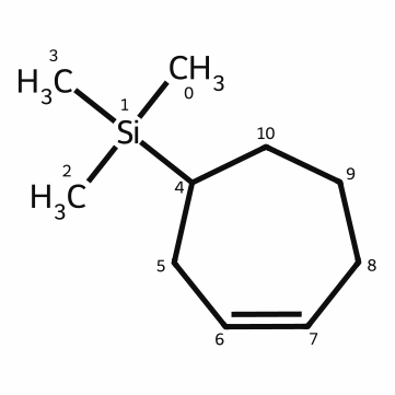 C[Si](C)(C)C1CC=CCCC1